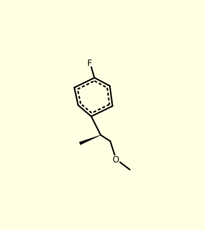 COC[C@@H](C)c1ccc(F)cc1